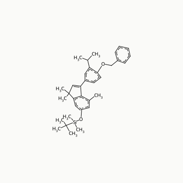 Cc1cc(O[Si](C)(C)C(C)(C)C)cc2c1C(c1ccc(OCc3ccccc3)c(C(C)C)c1)=CC2(C)C